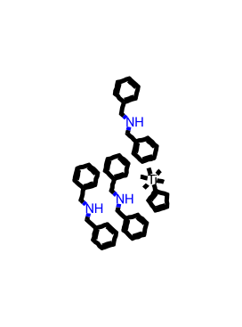 [CH3][Ti]([CH3])([CH3])([CH3])([CH3])[C]1=CC=CC1.c1ccc(CNCc2ccccc2)cc1.c1ccc(CNCc2ccccc2)cc1.c1ccc(CNCc2ccccc2)cc1